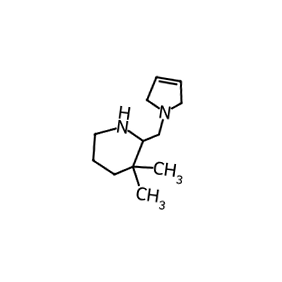 CC1(C)CCCNC1CN1CC=CC1